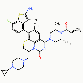 C=CC(=O)N1[C@H](C)CN(c2nc(=O)n3c4c(c(-c5ccc(F)c6sc(N)c(C#N)c56)c(C(F)(F)F)cc24)SCC3CN2CCN(C3CC3)CC2)C[C@@H]1C